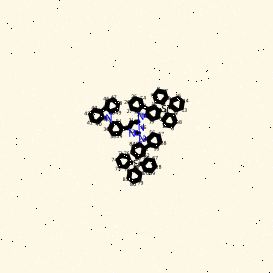 c1ccc([Si](c2ccccc2)(c2ccccc2)c2ccc3c(c2)c2ccccc2n3-c2cc(-c3cccc(-n4c5ccccc5c5ccccc54)c3)nc(-n3c4ccccc4c4cc([Si](c5ccccc5)(c5ccccc5)c5ccccc5)ccc43)n2)cc1